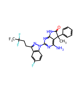 CC1(c2ccccc2)C(=O)Nc2nc(-n3nc(CCC(F)(F)C(F)(F)F)c4cc(F)ccc43)nc(N)c21